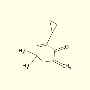 C=C1CC(C)(C)C=C(C2CC2)C1=O